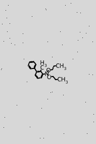 CCCON(OCCC)c1cccc(-c2ccccc2)c1C